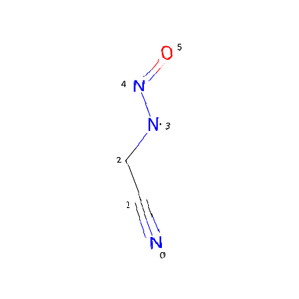 N#CC[N]N=O